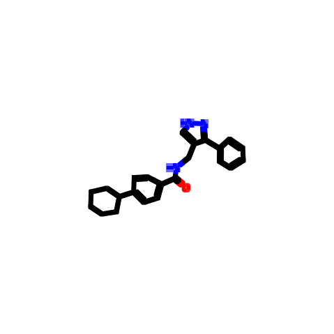 O=C(NCc1c[nH]nc1-c1ccccc1)c1ccc(C2CCCCC2)cc1